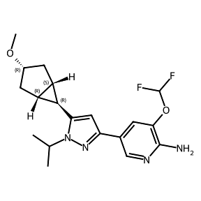 CO[C@H]1C[C@@H]2[C@H](C1)[C@H]2c1cc(-c2cnc(N)c(OC(F)F)c2)nn1C(C)C